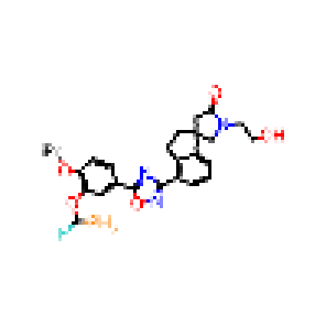 CC(C)Oc1ccc(-c2nc(-c3cccc4c3CCC43CC(=O)N(CCO)C3)no2)cc1OC(F)P